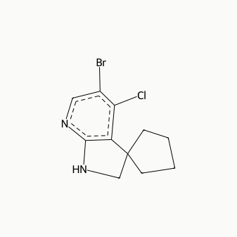 Clc1c(Br)cnc2c1C1(CCCC1)CN2